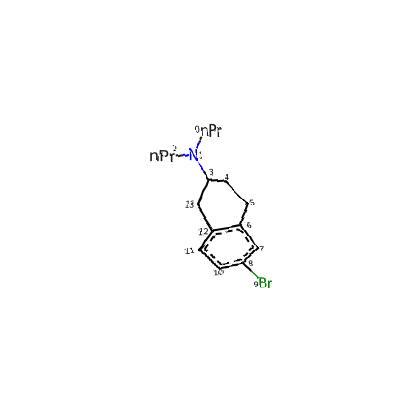 CCCN(CCC)C1CCc2cc(Br)ccc2C1